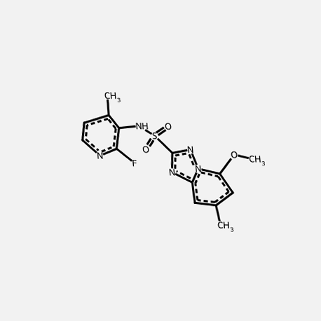 COc1cc(C)cc2nc(S(=O)(=O)Nc3c(C)ccnc3F)nn12